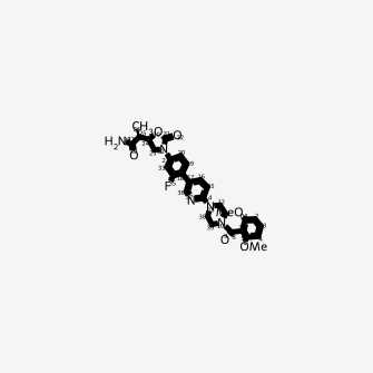 COc1cccc(OC)c1C(=O)N1CCN(c2ccc(-c3ccc(N4CC([C@H](C)C(N)=O)OC4=O)cc3F)cn2)CC1